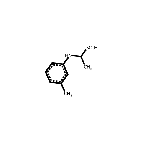 Cc1[c]ccc(NC(C)S(=O)(=O)O)c1